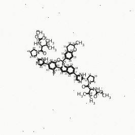 COC(=O)NC(C(=O)N1CCC[C@H]1c1ncc(-c2ccc3c(c2)cc2n3C(c3ccc4c(c3)CCC(C)O4)Oc3cc(-c4cnc([C@@H]5CCCN5C(=O)[C@@H](NC(=O)OC)C(C)C)[nH]4)cc(F)c3-2)[nH]1)C(C)C